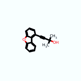 CC(C)(O)C#Cc1cccc2oc3ccccc3c12